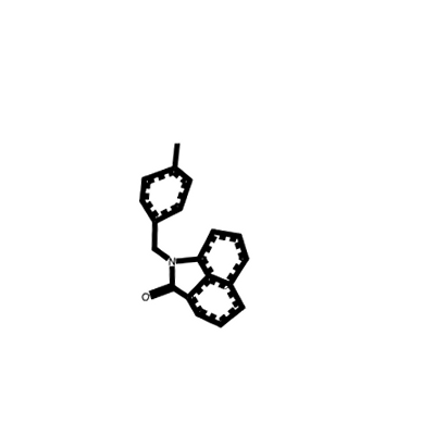 Cc1ccc(CN2C(=O)c3cccc4cccc2c34)cc1